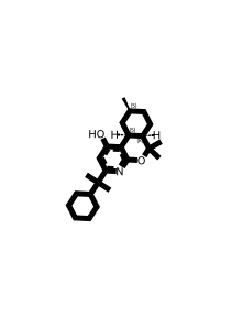 C[C@H]1CC[C@@H]2[C@H](C1)c1c(O)cc(C(C)(C)C3CCCCC3)nc1OC2(C)C